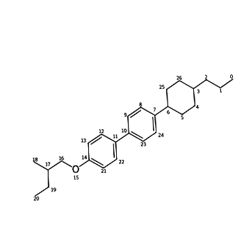 CCCC1CCC(c2ccc(-c3ccc(OCC(C)CC)cc3)cc2)CC1